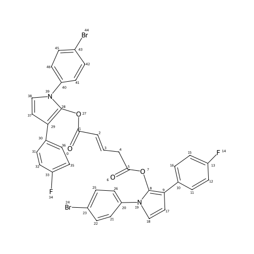 O=C(C=CCC(=O)Oc1c(-c2ccc(F)cc2)ccn1-c1ccc(Br)cc1)Oc1c(-c2ccc(F)cc2)ccn1-c1ccc(Br)cc1